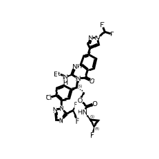 CCNC(=N)N(C(=O)c1ccc(-c2cnn(C(F)F)c2)cc1)[C@H](COC(=O)N[C@H]1C[C@H]1F)c1ccc(Cl)c(-n2ncnc2C(F)F)c1